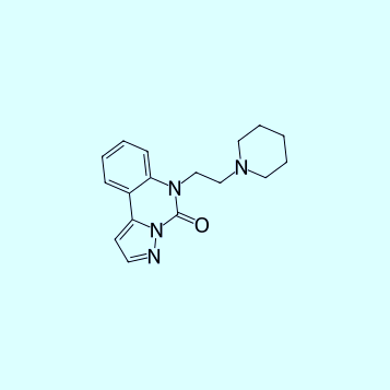 O=c1n(CCN2CCCCC2)c2ccccc2c2ccnn12